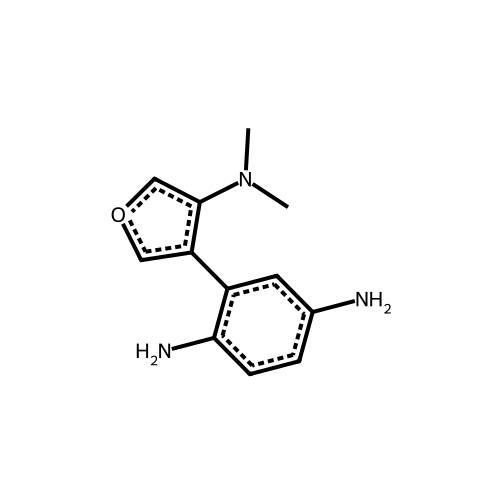 CN(C)c1cocc1-c1cc(N)ccc1N